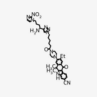 CCc1cc2c(cc1N1CCN(C(=O)CCCCCn3cc([C@@H](N)CCCn4ccnc4[N+](=O)[O-])nn3)CC1)C(C)(C)c1[nH]c3cc(C#N)ccc3c1C2=O